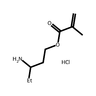 C=C(C)C(=O)OCCC(N)CC.Cl